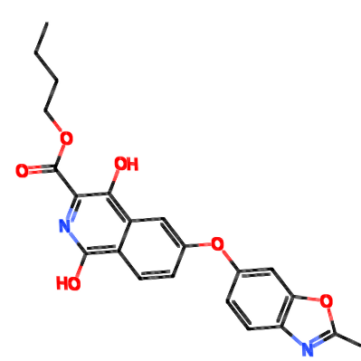 CCCCOC(=O)c1nc(O)c2ccc(Oc3ccc4nc(C)oc4c3)cc2c1O